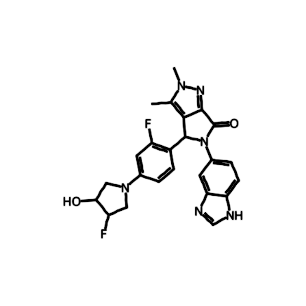 Cc1c2c(nn1C)C(=O)N(c1ccc3[nH]cnc3c1)C2c1ccc(N2CC(O)C(F)C2)cc1F